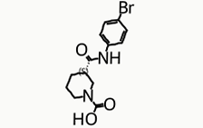 O=C(Nc1ccc(Br)cc1)[C@H]1CCCN(C(=O)O)C1